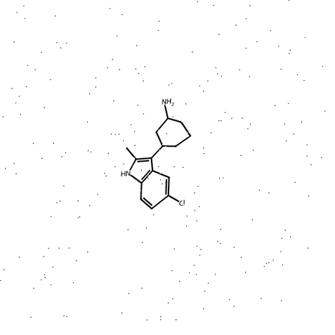 Cc1[nH]c2ccc(Cl)cc2c1C1CCCC(N)C1